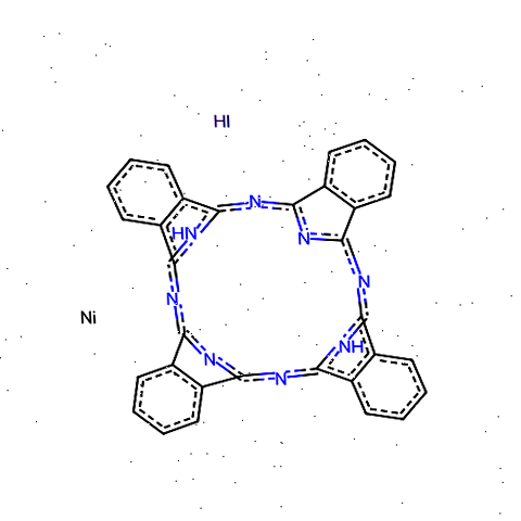 I.[Ni].c1ccc2c(c1)-c1nc-2nc2[nH]c(nc3nc(nc4[nH]c(n1)c1ccccc41)-c1ccccc1-3)c1ccccc21